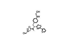 CN(C(=O)CNC=O)C(Cc1ccc(NSO)cc1)c1csc(-c2cccs2)n1